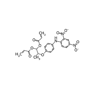 C=CC(=O)OC(OC(=O)C=C)C(C)Oc1ccc(Nc2ccc([N+](=O)[O-])cc2[N+](=O)[O-])cc1